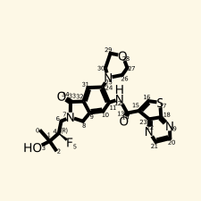 CC(C)(O)[C@H](F)CN1Cc2cc(NC(=O)c3csc4nccnc34)c(N3CCOCC3)cc2C1=O